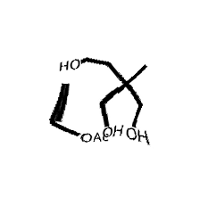 C=COC(C)=O.CC(CO)(CO)CO